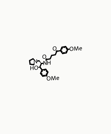 COc1ccc(C(=O)CCCC(=O)N[C@H](CN2CCCC2)[C@H](O)c2ccc(OC)cc2)cc1